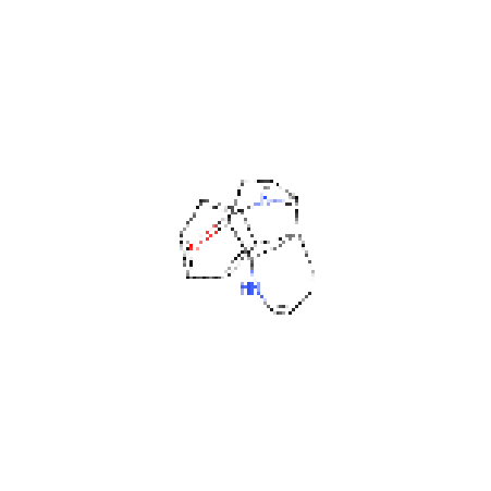 O=C1C=CC2=Nc3ccccc3C23CCC=CNC13